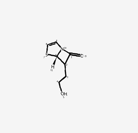 O=C1C(CCO)[C@@H]2SC=CN12